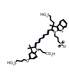 CC1(CCCS(=O)(=O)O)C(/C=C/C=C/C=C/C=C2\N(CCC(=O)O)c3ccc(OCCCS(=O)(=O)O)cc3C2(C)C)=[N+](CCCS(=O)(=O)[O-])c2sc3ccccc3c21